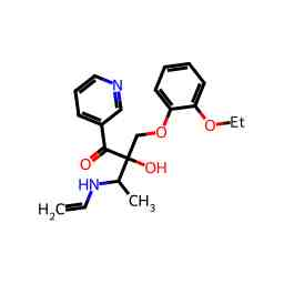 C=CNC(C)C(O)(COc1ccccc1OCC)C(=O)c1cccnc1